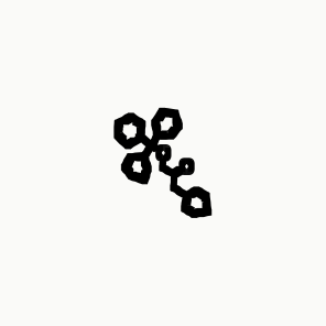 O=C(COC(c1ccccc1)(c1ccccc1)c1ccccc1)Cc1ccccc1